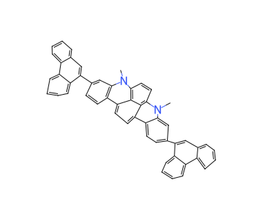 CN1c2cc(-c3cc4ccccc4c4ccccc34)ccc2-c2ccc3c4c(ccc1c24)N(C)c1cc(-c2cc4ccccc4c4ccccc24)ccc1-3